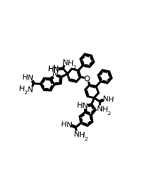 N=C(N)c1ccc2cc(C3(C(=N)N)C=CC(OC4=C(c5ccccc5)CC(C(=N)N)(c5cc6ccc(C(=N)N)cc6[nH]5)C=C4)=C(c4ccccc4)C3)[nH]c2c1